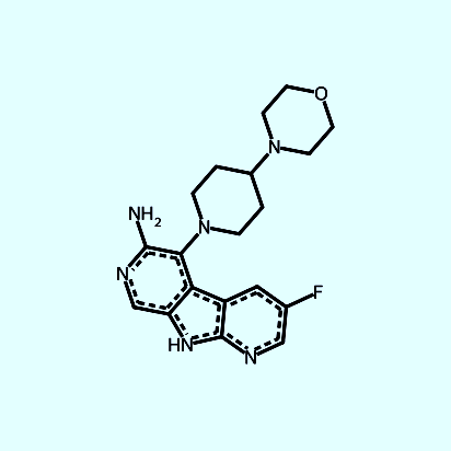 Nc1ncc2[nH]c3ncc(F)cc3c2c1N1CCC(N2CCOCC2)CC1